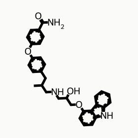 CC(CNCC(O)COc1cccc2[nH]c3ccccc3c12)Cc1ccc(Oc2ccc(C(N)=O)cc2)cc1